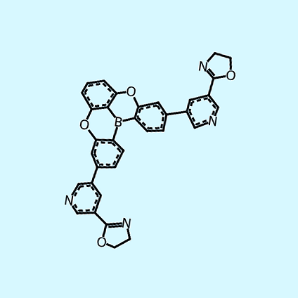 c1cc2c3c(c1)Oc1cc(-c4cncc(C5=NCCO5)c4)ccc1B3c1ccc(-c3cncc(C4=NCCO4)c3)cc1O2